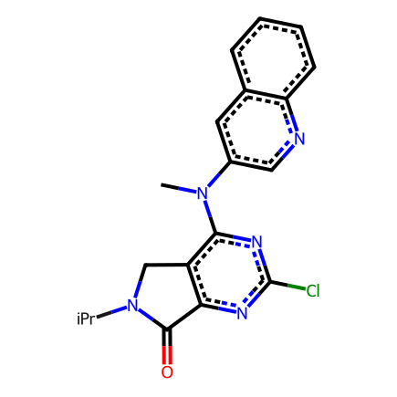 CC(C)N1Cc2c(nc(Cl)nc2N(C)c2cnc3ccccc3c2)C1=O